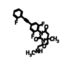 CNCCN1C(=O)N(c2c(F)cc(C#Cc3ccccc3F)cc2F)C(=O)CC1(C)C=O